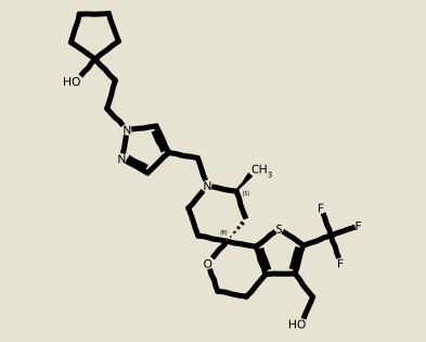 C[C@H]1C[C@@]2(CCN1Cc1cnn(CCC3(O)CCCC3)c1)OCCc1c2sc(C(F)(F)F)c1CO